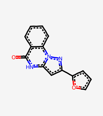 O=c1[nH]c2cc(-c3ccco3)nn2c2ccccc12